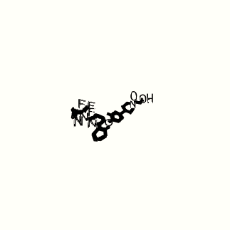 Cc1cc(C2CCN(C(=O)CO)CC2)ccc1OCC1=C(c2cccc(-n3ncc(C)c3C(F)(F)F)n2)CCCC1